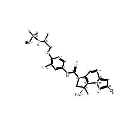 C[C@@H](COc1ncc(NC(=O)N2C[C@@](C)(C(F)(F)F)c3c2cnc2cc(Cl)nn32)cc1Cl)O[Si](C)(C)C(C)(C)C